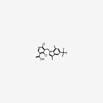 C=C(O)c1cnc(Cl)c(Cn2cc(C)c3cc(C(F)(F)F)cc(C)c32)c1Cl